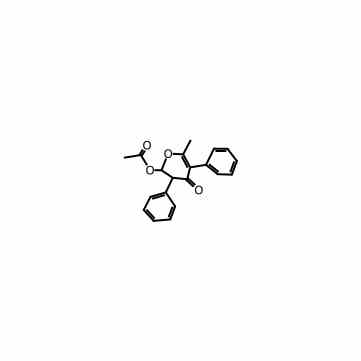 CC(=O)OC1OC(C)=C(c2ccccc2)C(=O)C1c1ccccc1